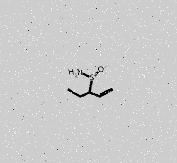 C=CC(CC)[S+](N)[O-]